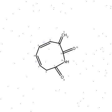 C=C1/C=C\C=C/CC(=O)NC1=O